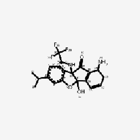 CC(C)c1ccc2c(c1)OC1(O)C3=C(C(=O)C21NC(=O)C(F)(F)F)C(N)CC=C3